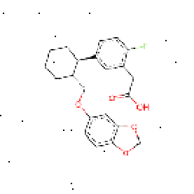 O=C(O)Cc1cc([C@@H]2CCCC[C@H]2COc2ccc3c(c2)OCO3)ccc1F